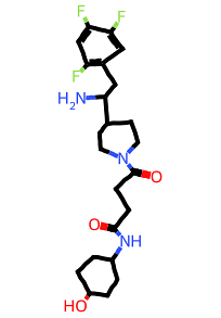 NC(Cc1cc(F)c(F)cc1F)C1CCN(C(=O)CCC(=O)NC2CCC(O)CC2)CC1